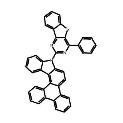 c1ccc(-c2nc(-n3c4ccccc4c4c5c6ccccc6c6ccccc6c5ccc43)nc3c2sc2ccccc23)cc1